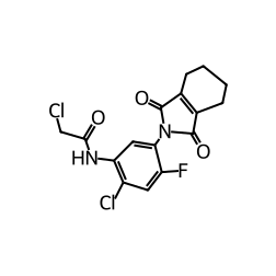 O=C(CCl)Nc1cc(N2C(=O)C3=C(CCCC3)C2=O)c(F)cc1Cl